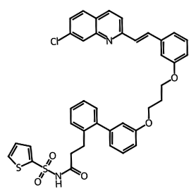 O=C(CCc1ccccc1-c1cccc(OCCCOc2cccc(/C=C/c3ccc4ccc(Cl)cc4n3)c2)c1)NS(=O)(=O)c1cccs1